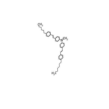 CCCCCCc1ccc(/C=C/c2ccc(N(C)c3ccc(/C=C/c4ccc(CCCCCC)cc4)cc3)cc2)cc1